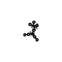 c1ccc(-c2ccc(-c3nc(-c4ccc(-c5ccccc5)cc4)nc(-c4ccc(-c5nc6ccccc6c6c(-c7ccccc7)c(-c7ccccc7)oc56)cc4)n3)cc2)cc1